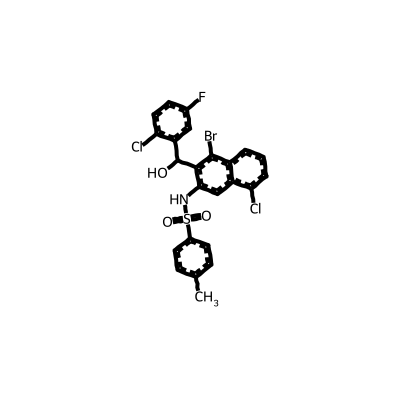 Cc1ccc(S(=O)(=O)Nc2cc3c(Cl)cccc3c(Br)c2C(O)c2cc(F)ccc2Cl)cc1